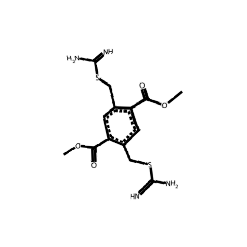 COC(=O)c1cc(CSC(=N)N)c(C(=O)OC)cc1CSC(=N)N